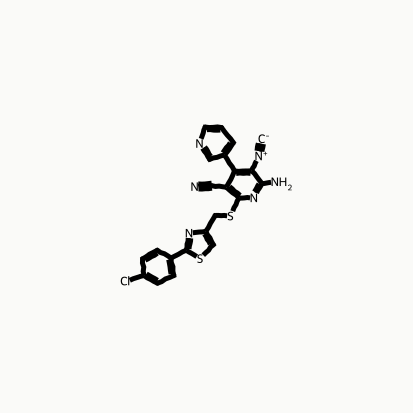 [C-]#[N+]c1c(N)nc(SCc2csc(-c3ccc(Cl)cc3)n2)c(C#N)c1-c1cccnc1